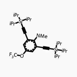 CNc1c(C#C[Si](C(C)C)(C(C)C)C(C)C)cc(OC(F)(F)F)cc1C#C[Si](C(C)C)(C(C)C)C(C)C